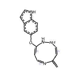 C=C1/C=C\NN/C(Oc2ccc3[nH]ccc3c2)=C\C=N/1